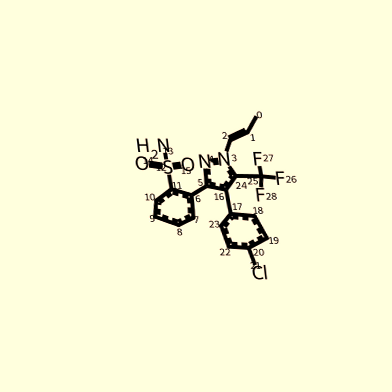 CC=Cn1nc(-c2ccccc2S(N)(=O)=O)c(-c2ccc(Cl)cc2)c1C(F)(F)F